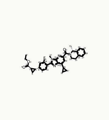 CCOC(=O)[C@@H]1C[C@H]1c1ccc(-c2nc3c(C4CC4)cc(C(=O)N4CCc5ccccc5[C@H]4C)nc3n2C)c(F)c1